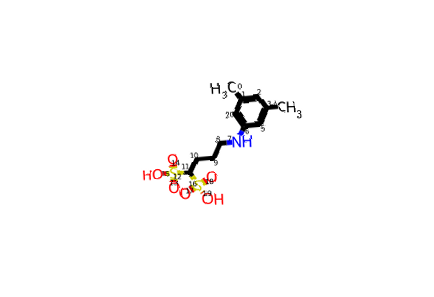 Cc1cc(C)cc(NCCCC(S(=O)(=O)O)S(=O)(=O)O)c1